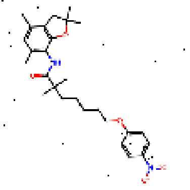 Cc1cc(C)c(NC(=O)C(C)(C)CCCCCOc2ccc([N+](=O)[O-])cc2)c2c1CC(C)(C)O2